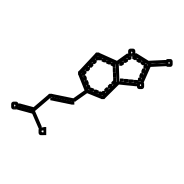 O=C(Cl)/C=C/c1ccc2oc(=O)oc2c1